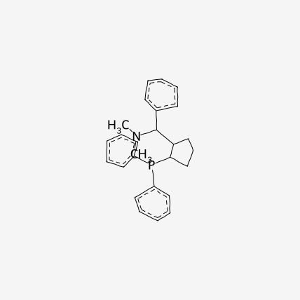 CN(C)C(c1ccccc1)C1CCCC1P(c1ccccc1)c1ccccc1